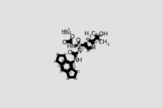 CC(C)(C)OC(=O)NS(=O)(=NC(=O)Nc1c2c(cc3c1CCC3)CCC2)c1cnc(C(C)(C)O)s1